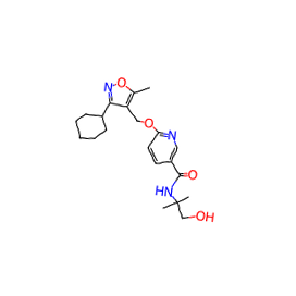 Cc1onc(C2CCCCC2)c1COc1ccc(C(=O)NC(C)(C)CO)cn1